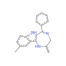 C=C1CN=C(c2ccccc2)c2[nH]c3ccc(C)cc3c2N1